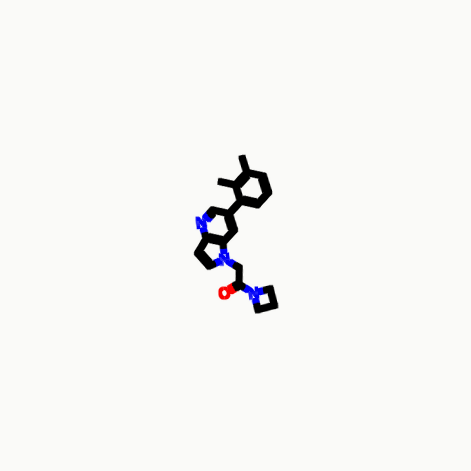 Cc1cccc(-c2cnc3ccn(CC(=O)N4CCC4)c3c2)c1C